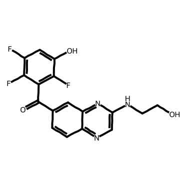 O=C(c1ccc2ncc(NCCO)nc2c1)c1c(F)c(O)cc(F)c1F